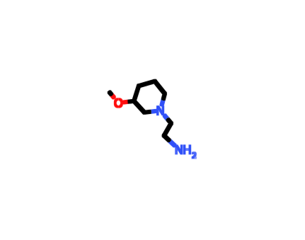 COC1CCCN(CCN)C1